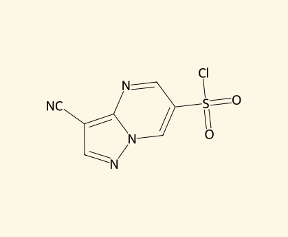 N#Cc1cnn2cc(S(=O)(=O)Cl)cnc12